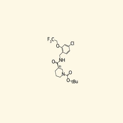 CC(C)(C)OC(=O)N1CCC[C@@H](C(=O)NCc2ccc(Cl)cc2OCC(F)(F)F)C1